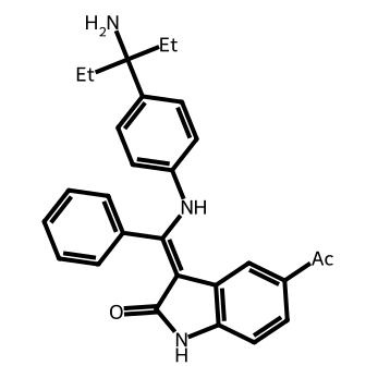 CCC(N)(CC)c1ccc(N/C(=C2/C(=O)Nc3ccc(C(C)=O)cc32)c2ccccc2)cc1